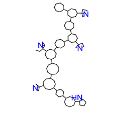 CCC1(C2CCC(C3CCCCC(C4CCC(C5CCC(C6CCCCC(C78CCCC7N8)CC6)CC5)CCC(C56CN5C6)CC4)CCC3)CCC(C3CCCC(C4CC(C5CCCC(C6CC(C7CCCCCC7)CCC(C78CCN7C8)C6)CC5)CCC(C56CCN5C6)C4)CC3)C2)C2CN21